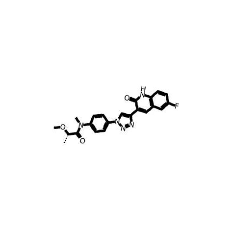 CO[C@@H](C)C(=O)N(C)c1ccc(-n2cc(-c3cc4cc(F)ccc4[nH]c3=O)nn2)cc1